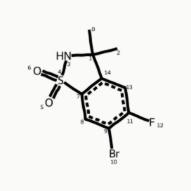 CC1(C)NS(=O)(=O)c2cc(Br)c(F)cc21